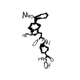 COc1ccccc1-c1ccc2[nH]cc(CC(=O)Nc3ccc(C(=O)NO)cc3)c2c1